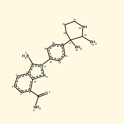 Bc1c2cccc(C(N)=O)c2nn1-c1ccc(C2(B)CCCNC2B)cc1